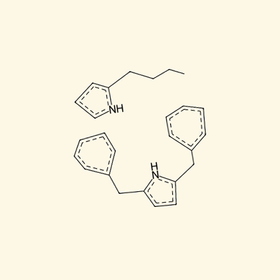 CCCCc1ccc[nH]1.c1ccc(Cc2ccc(Cc3ccccc3)[nH]2)cc1